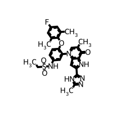 CCS(=O)(=O)Nc1ccc(Oc2c(C)cc(F)cc2C)c(-n2cc(C)c(=O)c3[nH]c(-c4nnc(C)[nH]4)cc32)c1